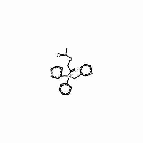 CC(=O)OCC(=O)[N+](Cc1ccccc1)(c1ccccc1)c1ccccc1